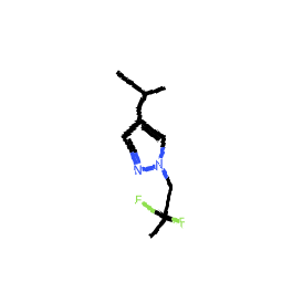 CC(C)c1cnn(CC(C)(F)F)c1